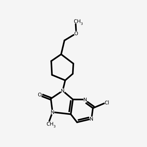 COCC1CCC(n2c(=O)n(C)c3cnc(Cl)nc32)CC1